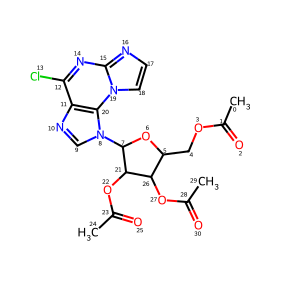 CC(=O)OCC1OC(n2cnc3c(Cl)nc4nccn4c32)C(OC(C)=O)C1OC(C)=O